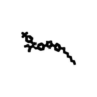 CCCCCCCOc1ccc(-c2nc(-c3ccc(C[C@H](Nc4ccc(C(C)(C)C)cc4)C(=O)OC)cc3)no2)cc1